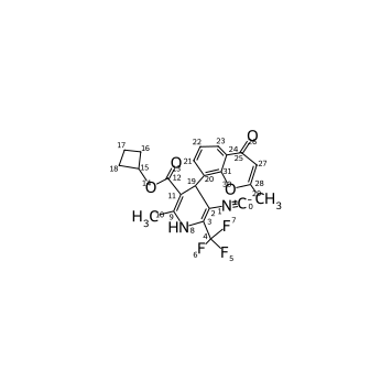 [C-]#[N+]C1=C(C(F)(F)F)NC(C)=C(C(=O)OC2CCC2)C1c1cccc2c(=O)cc(C)oc12